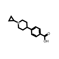 O=C(O)c1ccc(C2CCN(C3CC3)CC2)cc1